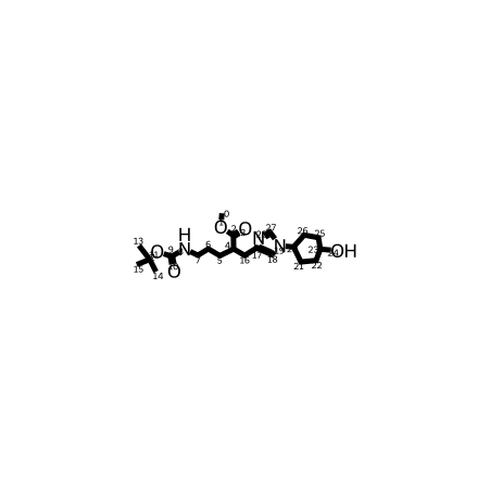 COC(=O)C(CCCNC(=O)OC(C)(C)C)Cc1cn(C2CCC(O)CC2)cn1